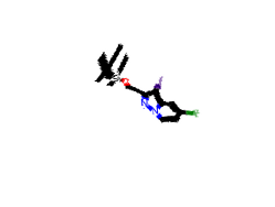 CC(C)(C)[Si](C)(C)OCc1nn2ccc(F)cc2c1I